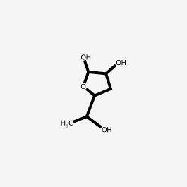 CC(O)C1CC(O)C(O)O1